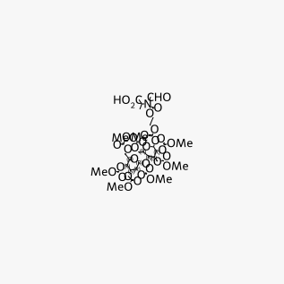 COC(=O)OC[C@H]1O[C@H](O[C@H]2[C@H](OC(=O)OC)[C@@H](OC(=O)OC)C(OC(=O)OCCOC(=O)N(C=O)C(C)C(=O)O)O[C@@H]2COC(=O)OC)[C@H](OC(=O)OC)[C@@H](OC(=O)OC)[C@@H]1OC(=O)OC